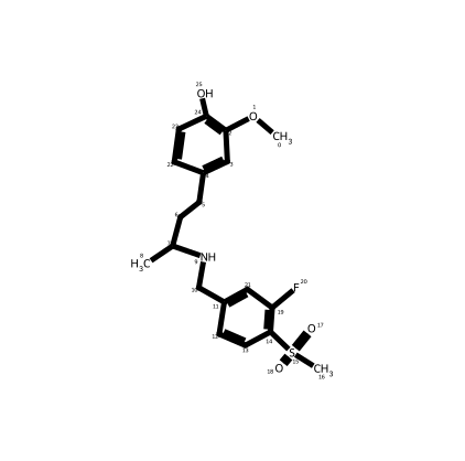 COc1cc(CCC(C)NCc2ccc(S(C)(=O)=O)c(F)c2)ccc1O